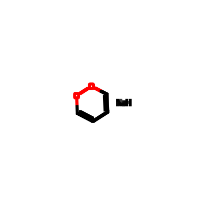 C1=COOC=C1.[NaH]